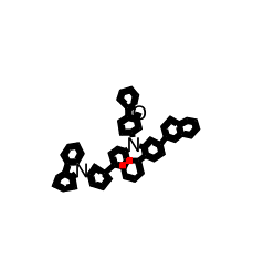 C1=CCCC(c2ccc(-c3ccc4ccccc4c3)cc2N(c2ccc(-c3cccc(-n4c5ccccc5c5ccccc54)c3)cc2)c2ccc3c(c2)oc2ccccc23)=C1